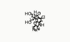 O=C1NC(CCO)(CCO)n2c1c(Cl)cc(Nc1ccncn1)c2=O